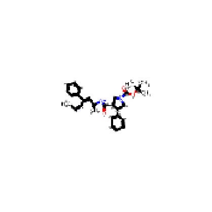 C=C(/C=C(\C=C/C)c1ccccc1)NC(=O)[C@H]1CN(C(=O)OC(C)(C)C)C[C@@H]1c1ccccc1